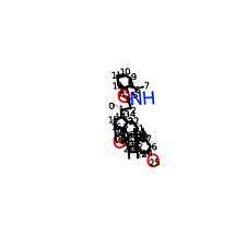 C[C@H](CC(=O)N[C@H](C)c1ccccc1)C1CC[C@H]2[C@@H]3C(=O)C[C@@H]4CC(=O)CC[C@]4(C)[C@H]3CC[C@]12C